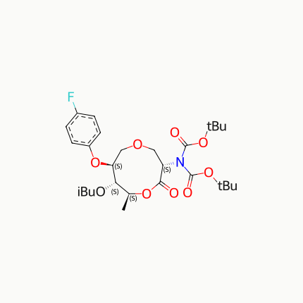 CC(C)CO[C@H]1[C@H](C)OC(=O)[C@@H](N(C(=O)OC(C)(C)C)C(=O)OC(C)(C)C)COC[C@@H]1Oc1ccc(F)cc1